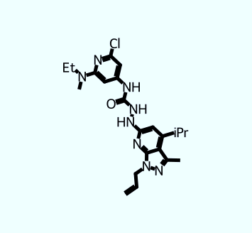 C=CCn1nc(C)c2c(C(C)C)cc(NNC(=O)Nc3cc(Cl)nc(N(C)CC)c3)nc21